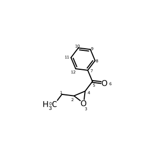 CCC1OC1C(=O)c1ccccc1